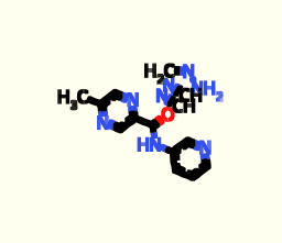 C#N.C#N.C=NN.Cc1cnc(C(=O)Nc2cccnc2)cn1